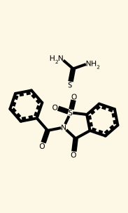 NC(N)=S.O=C(c1ccccc1)N1C(=O)c2ccccc2S1(=O)=O